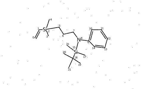 C=C[Si](C)(C)CCCN(c1ccccc1)[Si](C)(C)C(C)(C)C